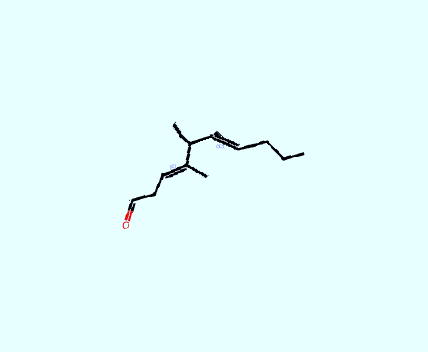 CCC/C=C/C(C)/C(C)=C/C[C]=O